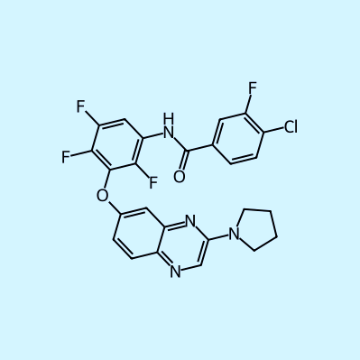 O=C(Nc1cc(F)c(F)c(Oc2ccc3ncc(N4CCCC4)nc3c2)c1F)c1ccc(Cl)c(F)c1